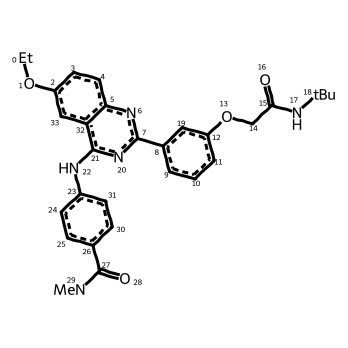 CCOc1ccc2nc(-c3cccc(OCC(=O)NC(C)(C)C)c3)nc(Nc3ccc(C(=O)NC)cc3)c2c1